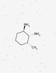 C[C@@H]1CCC[C@@H](N)[C@@H]1N